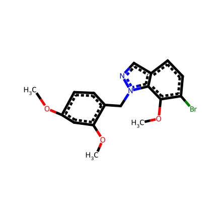 COc1ccc(Cn2ncc3ccc(Br)c(OC)c32)c(OC)c1